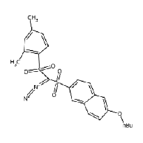 CCCCOc1ccc2cc(S(=O)(=O)C(=[N+]=[N-])S(=O)(=O)c3ccc(C)cc3C)ccc2c1